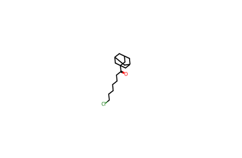 O=C(CCCCCCCl)C12CC3CC(CC(C3)C1)C2